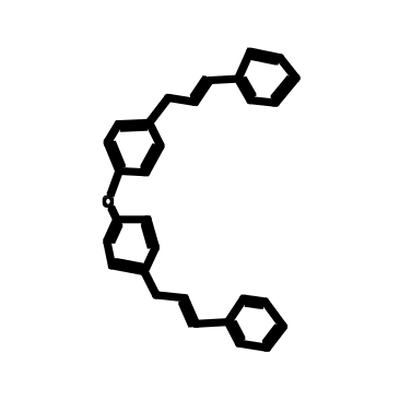 C(=Cc1ccccc1)Cc1ccc(Oc2ccc(CC=Cc3ccccc3)cc2)cc1